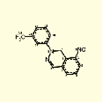 O=Nc1cccc2c1CN(c1cccc(C(F)(F)F)c1)N=C2